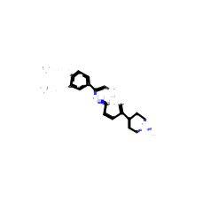 C\C=C(/C=C\C(C)=N\C(=C/C(C)=O)c1ccc(OC)c(OC)c1)C1CCN(CC)CC1